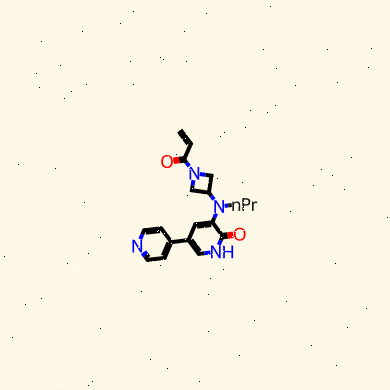 C=CC(=O)N1CC(N(CCC)c2cc(-c3ccncc3)c[nH]c2=O)C1